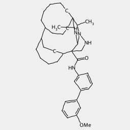 COc1cccc(-c2cccc(NC(=O)C34CNN5C(C)C6(CCCCCC(CCC6)C6CCCCC3CC6)C(C)NC54)c2)c1